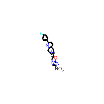 C[C@]1(CN2C3CCC2c2ccc(-c4ccc(F)cc4)nc2C3)Cn2cc([N+](=O)[O-])nc2O1